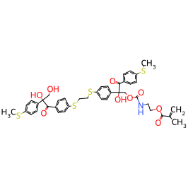 C=C(C)C(=O)OCCNC(=O)OCC(O)(C(=O)c1ccc(SC)cc1)c1ccc(SCCSc2ccc(C(=O)C(O)(CO)c3ccc(SC)cc3)cc2)cc1